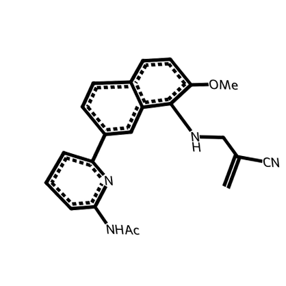 C=C(C#N)CNc1c(OC)ccc2ccc(-c3cccc(NC(C)=O)n3)cc12